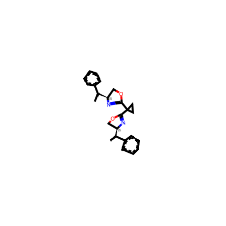 CC(c1ccccc1)[C@H]1COC(C2(C3=N[C@@H](C(C)c4ccccc4)CO3)CC2)=N1